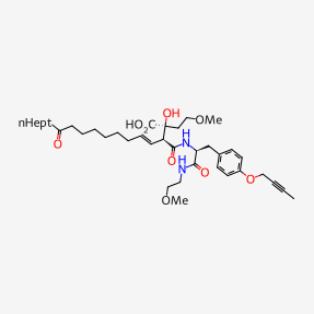 CC#CCOc1ccc(C[C@H](NC(=O)[C@@H](/C=C/CCCCCCC(=O)CCCCCCC)[C@@](O)(CCOC)C(=O)O)C(=O)NCCOC)cc1